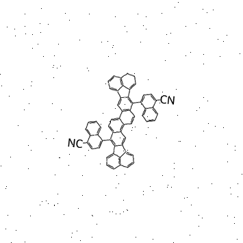 N#Cc1ccc(-c2c3c(cc4c2ccc2c5cc6c(c(-c7ccc(C#N)c8ccccc78)c5ccc42)-c2cccc4cccc-6c24)-c2cccc4c2C3=CCC4)c2ccccc12